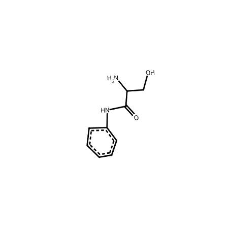 NC(CO)C(=O)Nc1ccccc1